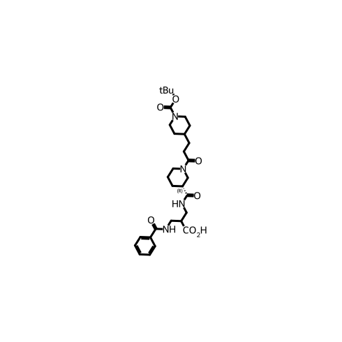 CC(C)(C)OC(=O)N1CCC(CCC(=O)N2CCC[C@@H](C(=O)NCC(CNC(=O)c3ccccc3)C(=O)O)C2)CC1